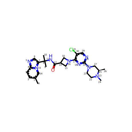 Cc1ccc2ncc(C(C)(C)NC(=O)C3CN(c4nc(N5CCN(C)[C@H](C)C5)ncc4Cl)C3)n2c1